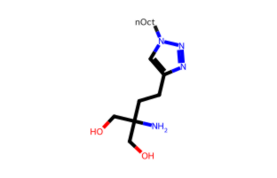 CCCCCCCCn1cc(CCC(N)(CO)CO)nn1